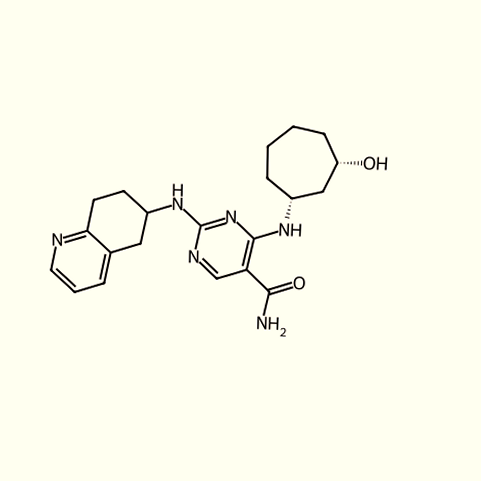 NC(=O)c1cnc(NC2CCc3ncccc3C2)nc1N[C@@H]1CCCC[C@H](O)C1